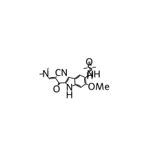 COc1cc2[nH]c(C(=O)/C(C#N)=C/N(C)C)cc2cc1N[SH](C)(C)=O